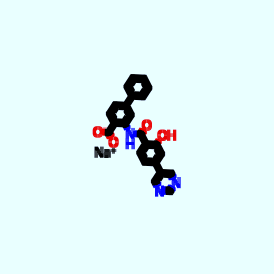 O=C(Nc1cc(-c2ccccc2)ccc1C(=O)[O-])c1ccc(-c2cncnc2)cc1O.[Na+]